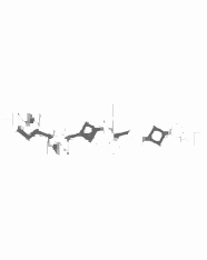 O=C(COC1CC(OC(F)(F)F)C1)NC12CC(c3nnc(-c4cc[nH]n4)o3)(C1)C2